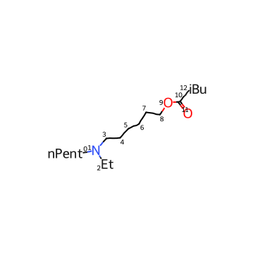 CCCCCN(CC)CCCCCCOC(=O)C(C)CC